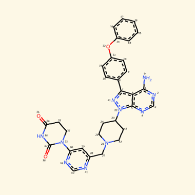 Nc1ncnc2c1c(-c1ccc(Oc3ccccc3)cc1)nn2C1CCN(Cc2cc(N3CCC(=O)NC3=O)ncn2)CC1